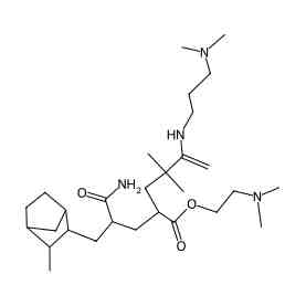 C=C(NCCCN(C)C)C(C)(C)CC(CC(CC1C2CCC(C2)C1C)C(N)=O)C(=O)OCCN(C)C